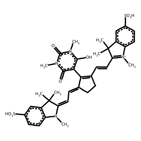 CN1/C(=C/C=C2\CCC(/C=C/C3=[N+](C)c4ccc(S(=O)(=O)O)cc4C3(C)C)=C2c2c(O)n(C)c(=O)n(C)c2=O)C(C)(C)c2cc(S(=O)(=O)O)ccc21